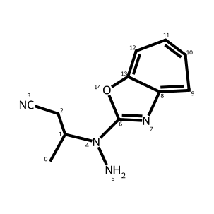 CC(CC#N)N(N)c1nc2ccccc2o1